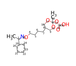 CC(=NOCCCCC1COC(C)(OC(=O)O)OC1)c1ccccc1